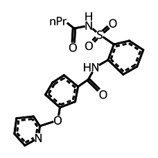 CCCC(=O)NS(=O)(=O)c1ccccc1NC(=O)c1cccc(Oc2ccccn2)c1